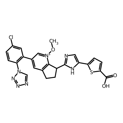 CO[n+]1cc(-c2cc(Cl)ccc2-n2cnnn2)cc2c1C(c1ncc(-c3ccc(C(=O)O)s3)[nH]1)CC2